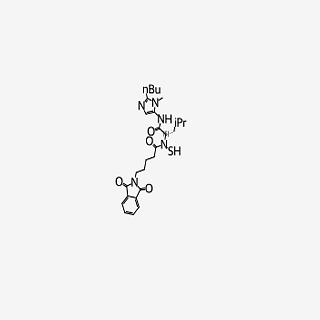 CCCCc1ncc(NC(=O)[C@H](CC(C)C)N(S)C(=O)CCCCN2C(=O)c3ccccc3C2=O)n1C